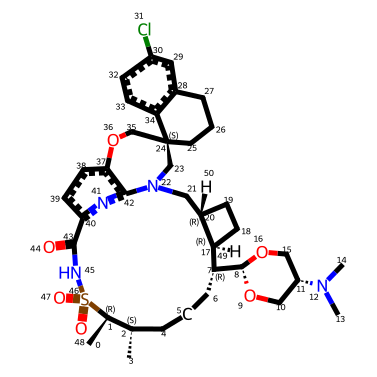 C[C@@H]1[C@@H](C)CCC[C@@H]([C@H]2OC[C@@H](N(C)C)CO2)[C@@H]2CC[C@H]2CN2C[C@@]3(CCCc4cc(Cl)ccc43)COc3ccc(nc32)C(=O)NS1(=O)=O